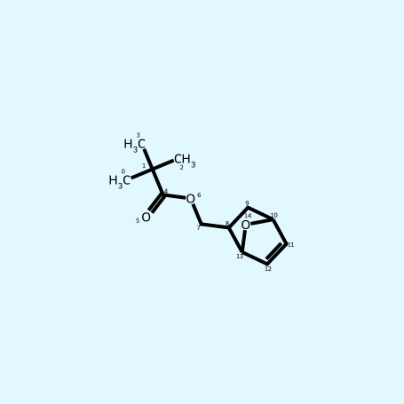 CC(C)(C)C(=O)OCC1CC2C=CC1O2